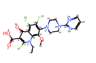 CCn1c(F)c(C(=O)O)c(=O)c2c(F)c(F)c(N3CCN(c4ncccn4)CC3)c(OC)c21